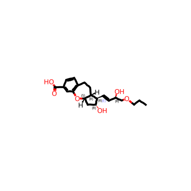 CCCOC[C@H](O)/C=C/[C@@H]1[C@H]2CCc3ccc(C(=O)O)cc3O[C@H]2C[C@H]1O